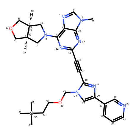 Cn1cnc2c(N3C[C@H]4COC[C@H]4C3)nc(C#Cc3nc(-c4cccnc4)cn3COCC[Si](C)(C)C)nc21